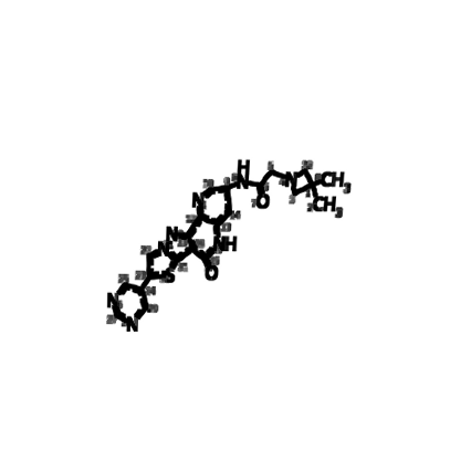 CC1(C)CN(CC(=O)Nc2cnc3c(c2)[nH]c(=O)c2c3nn3cc(-c4cncnc4)sc23)C1